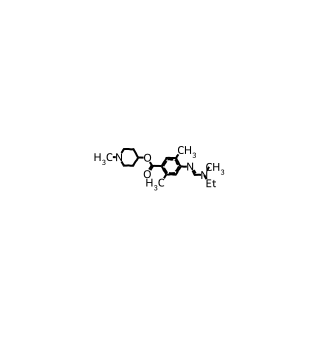 CCN(C)/C=N/c1cc(C)c(C(=O)OC2CCN(C)CC2)cc1C